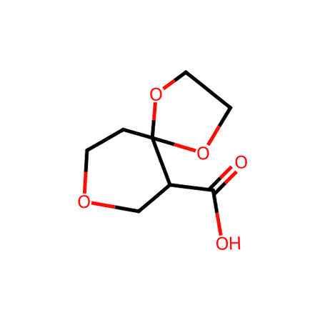 O=C(O)C1COCCC12OCCO2